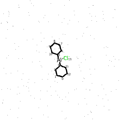 C1CC[CH]([Al+][CH]2CCCCC2)CC1.[Cl-]